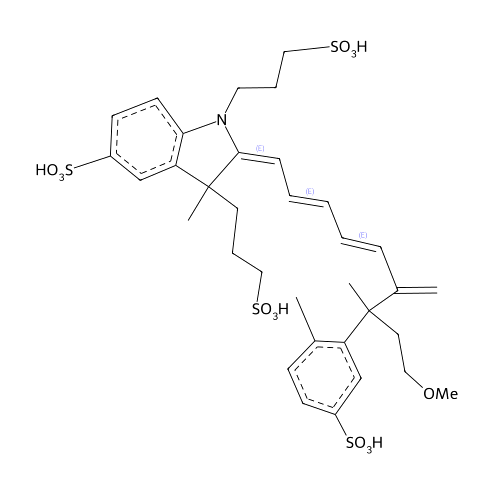 C=C(/C=C/C=C/C=C1/N(CCCS(=O)(=O)O)c2ccc(S(=O)(=O)O)cc2C1(C)CCCS(=O)(=O)O)C(C)(CCOC)c1cc(S(=O)(=O)O)ccc1C